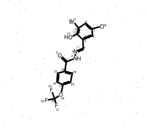 O=C(N/N=C/c1cc(Cl)cc(Br)c1O)c1ccc(OC(F)(F)F)cc1